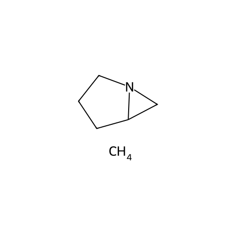 C.C1CC2CN2C1